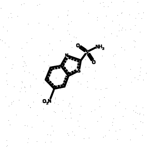 NS(=O)(=O)c1nc2ccc([N+](=O)[O-])cc2s1